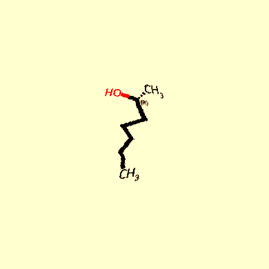 CCCCC[C@@H](C)O